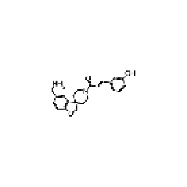 NCc1ccc2c(c1)C1(CCN(C(=O)C=Cc3cccc(O)c3)CC1)CO2